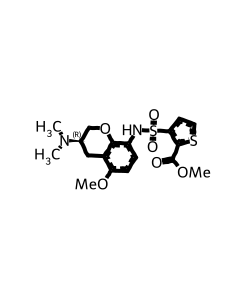 COC(=O)c1sccc1S(=O)(=O)Nc1ccc(OC)c2c1OC[C@H](N(C)C)C2